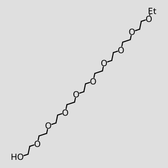 CCOCCOCCOCCOCCOCCOCCOCCOCCOCCO